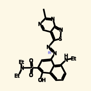 CCNc1cccc2c(O)c(S(=O)(=O)N(CC)CC)cc(/N=N/c3snc4nc(C)ncc34)c12